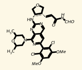 COc1cc(OC)c(Cl)c(-c2cc3cnc(N[C@@H]4COC[C@@H]4C=CC(=O)NC=O)nc3c(N3CC(C)OC(C)C3)n2)c1Cl